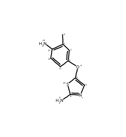 Cc1cc(Oc2cnc(N)s2)ccc1N